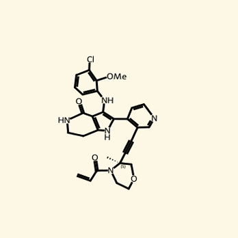 C=CC(=O)N1CCOC[C@]1(C)C#Cc1cnccc1-c1[nH]c2c(c1Nc1cccc(Cl)c1OC)C(=O)NCC2